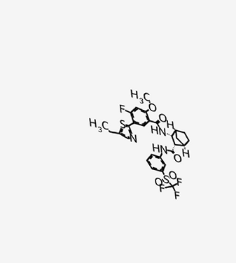 CCc1cnc(-c2cc(C(=O)N[C@@H]3[C@H]4CC[C@H](C4)[C@@H]3C(=O)Nc3cccc(S(=O)(=O)C(F)(F)F)c3)c(OC)cc2F)s1